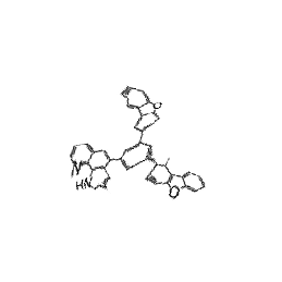 CC1c2c(oc3ccccc23)C=CC1c1cc(-c2ccc3oc4ccccc4c3c2)cc(-c2cc3cccnc3c3c2C=CCN3)c1